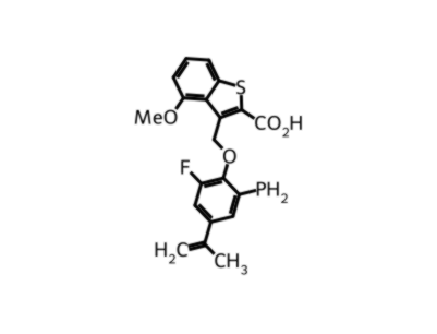 C=C(C)c1cc(F)c(OCc2c(C(=O)O)sc3cccc(OC)c23)c(P)c1